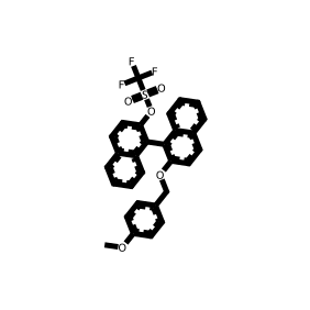 COc1ccc(COc2ccc3ccccc3c2-c2c(OS(=O)(=O)C(F)(F)F)ccc3ccccc23)cc1